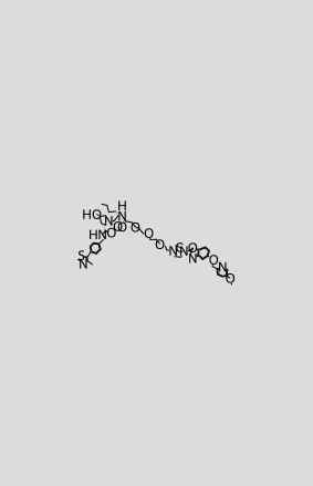 CCCC[C@H](NC(=O)COCCOCCOCCN1CCN(c2nc3cc(OCc4ccc(OC)cn4)ccc3o2)CC1)C(=O)N1C[C@H](O)C[C@H]1C(=O)NCc1ccc(-c2scnc2C)cc1